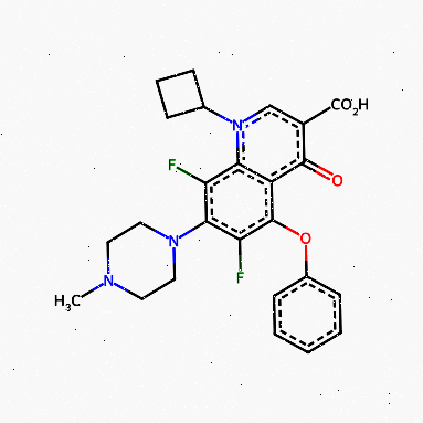 CN1CCN(c2c(F)c(Oc3ccccc3)c3c(=O)c(C(=O)O)cn(C4CCC4)c3c2F)CC1